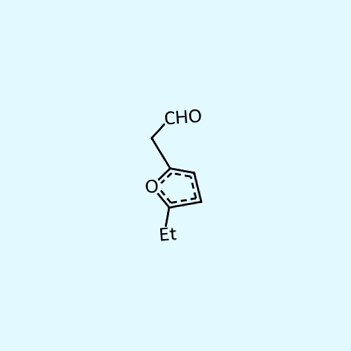 CCc1ccc(CC=O)o1